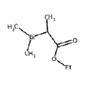 CCOC(=O)[CH](C)[Bi]([CH3])[CH3]